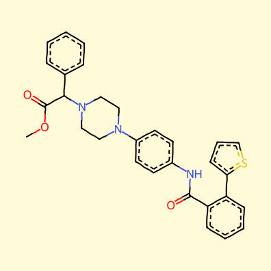 COC(=O)C(c1ccccc1)N1CCN(c2ccc(NC(=O)c3ccccc3-c3cccs3)cc2)CC1